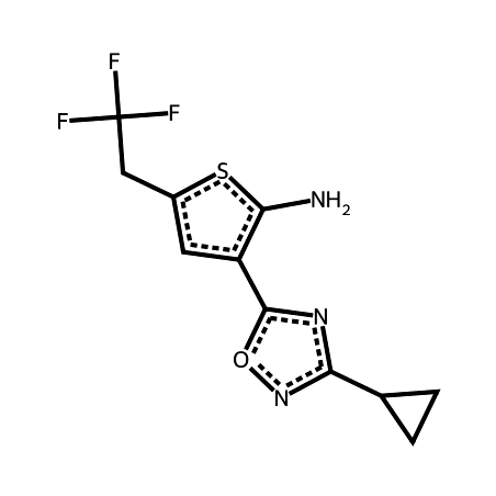 Nc1sc(CC(F)(F)F)cc1-c1nc(C2CC2)no1